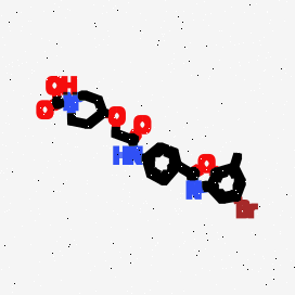 Cc1cc(Br)cc2nc(-c3ccc(NC(=O)COC4CCN(C(=O)O)CC4)cc3)oc12